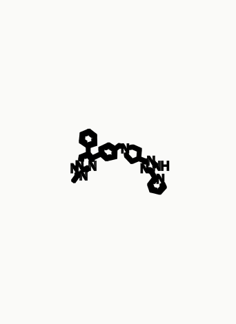 Cc1nc2nc(-c3ccc(CN4CCC(c5n[nH]c(-c6ccccn6)n5)CC4)cc3)c(-c3ccccc3)cn2n1